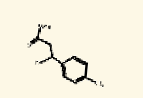 COC(=O)CC(Br)c1ccc(C)cc1